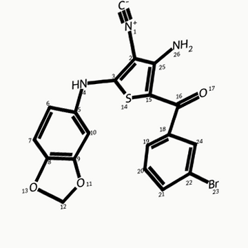 [C-]#[N+]c1c(Nc2ccc3c(c2)OCO3)sc(C(=O)c2cccc(Br)c2)c1N